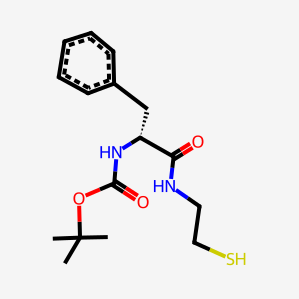 CC(C)(C)OC(=O)N[C@H](Cc1ccccc1)C(=O)NCCS